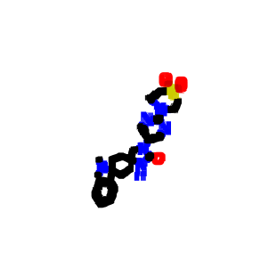 CN(C)[C@]1(c2ccccc2)CC[C@@]2(CC1)CN(c1cnc(N3CCS(=O)(=O)CC3)nc1)C(=O)N2